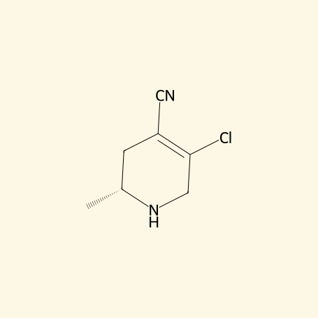 C[C@@H]1CC(C#N)=C(Cl)CN1